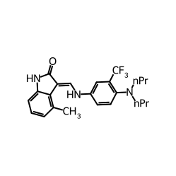 CCCN(CCC)c1ccc(N/C=C2/C(=O)Nc3cccc(C)c32)cc1C(F)(F)F